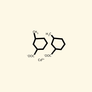 CC1CCCC(C(=O)[O-])C1.CC1CCCC(C(=O)[O-])C1.[Cd+2]